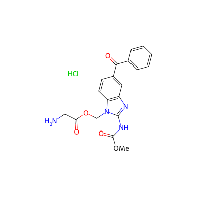 COC(=O)Nc1nc2cc(C(=O)c3ccccc3)ccc2n1COC(=O)CN.Cl